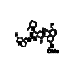 C#Cc1c(F)ccc2cc(OCOC)cc(-c3ncc4c(N5CCCC[C@@H]5C)nc(OC[C@@]56CCCN5C[C@H](F)C6)nc4c3F)c12